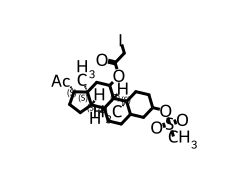 CC(=O)[C@H]1CC[C@H]2[C@@H]3CCC4CC(OS(C)(=O)=O)CC[C@]4(C)[C@H]3C(OC(=O)CI)C[C@]12C